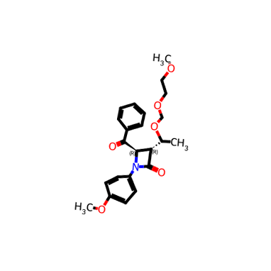 COCCOCOC(C)[C@@H]1C(=O)N(c2ccc(OC)cc2)[C@H]1C(=O)c1ccccc1